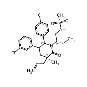 C=CC[C@@]1(C)CC(c2cccc(Cl)c2)[C@@H](c2ccc(Cl)cc2)N([C@@H](CC)CNS(C)(=O)=O)C1=O